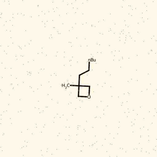 [CH2]C1(CCCCCC)COC1